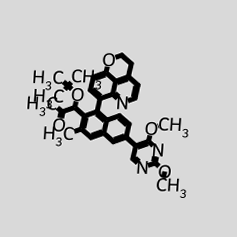 COc1ncc(-c2ccc3c(-c4ccc5c6c(ccnc46)CCO5)c(C(OC(C)(C)C)C(C)=O)c(C)cc3c2)c(OC)n1